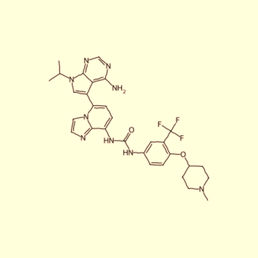 CC(C)n1cc(-c2ccc(NC(=O)Nc3ccc(OC4CCN(C)CC4)c(C(F)(F)F)c3)c3nccn23)c2c(N)ncnc21